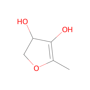 CC1=C(O)C(O)CO1